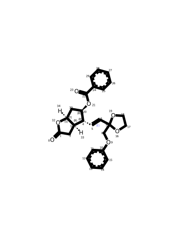 O=C1C[C@@H]2[C@@H](/C=C/C3(COc4ccccc4)OCCO3)[C@H](OC(=O)c3ccccc3)C[C@@H]2O1